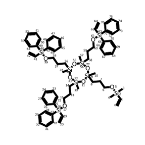 C=C[Si](C)(C)OCCC[Si]1(C)O[Si](C)(CCCO[Si](C=C)(c2ccccc2)c2ccccc2)O[Si](C)(CCCO[Si](C=C)(c2ccccc2)c2ccccc2)O[Si](C)(CCCO[Si](C=C)(c2ccccc2)c2ccccc2)O1